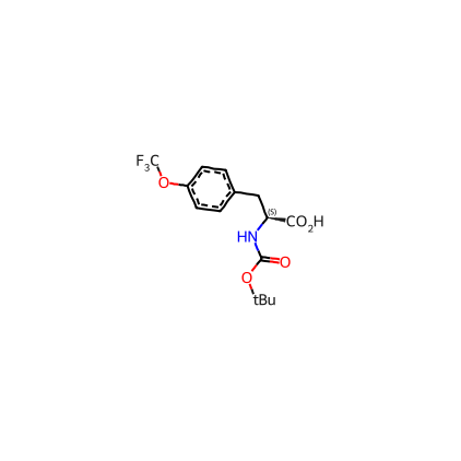 CC(C)(C)OC(=O)N[C@@H](Cc1ccc(OC(F)(F)F)cc1)C(=O)O